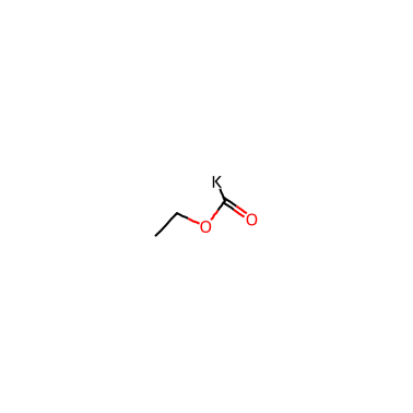 CCO[C](=O)[K]